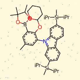 Cc1cc(B2OC(C)C(C)(C)O2)c(OC2CCCCO2)c(-n2c3cc([Si](C)(C(C)C)C(C)C)ccc3c3ccc([Si](C)(C(C)C)C(C)C)cc32)c1